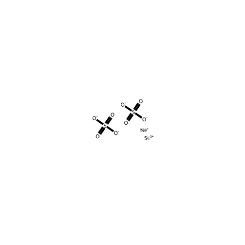 O=S(=O)([O-])[O-].O=S(=O)([O-])[O-].[Na+].[Sc+3]